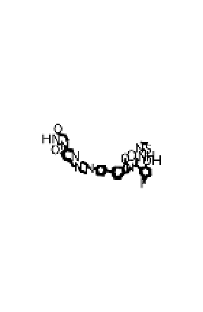 O=C1CCN(c2ccc(CN3CCN(c4ccc(-c5ccc6c(c5)C(=O)N(C(C(=O)Nc5nccs5)c5cc(F)ccc5O)C6)cc4)CC3)nc2)C(=O)N1